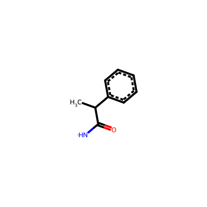 CC(C([NH])=O)c1ccccc1